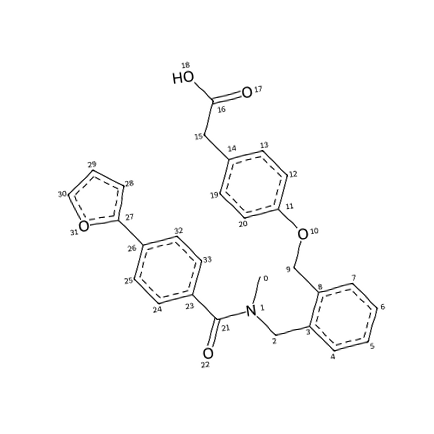 CN(Cc1ccccc1COc1ccc(CC(=O)O)cc1)C(=O)c1ccc(-c2ccco2)cc1